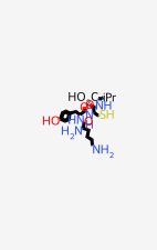 CC(C)C(NC(=O)C(CS)NC(=O)C(Cc1ccc(O)cc1)NC(=O)C(N)CCCCN)C(=O)O